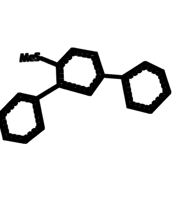 CSc1ccc(-c2ccccc2)cc1-c1ccccc1